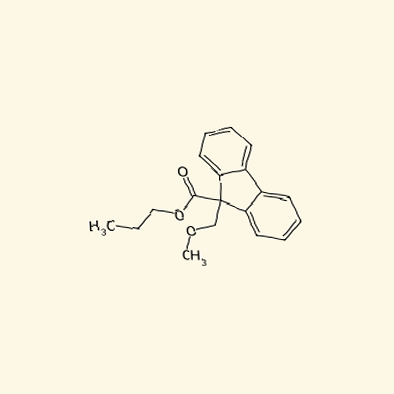 CCCOC(=O)C1(COC)c2ccccc2-c2ccccc21